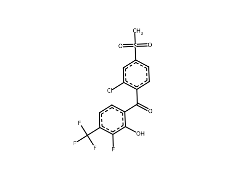 CS(=O)(=O)c1ccc(C(=O)c2ccc(C(F)(F)F)c(F)c2O)c(Cl)c1